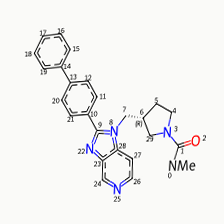 CNC(=O)N1CC[C@@H](Cn2c(-c3ccc(-c4ccccc4)cc3)nc3cnccc32)C1